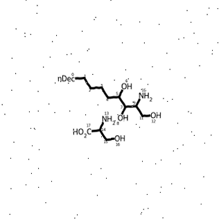 CCCCCCCCCCCCCCC(O)C(O)C(N)CO.NC(CO)C(=O)O